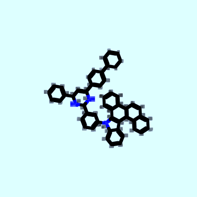 C1=CCCC(c2ccc(C3=CC(c4ccccc4)NC(c4cccc(-n5c6ccccc6c6c7c8ccccc8ccc7c7ccccc7c65)c4)N3)cc2)=C1